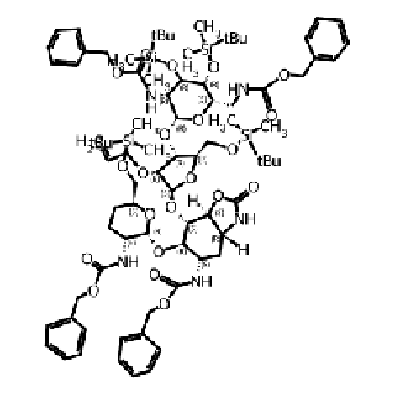 C=CCO[C@H]1[C@H](O[C@@H]2[C@H]3OC(=O)N[C@@H]3C[C@H](NC(=O)OCc3ccccc3)[C@H]2O[C@H]2O[C@H](CO[Si](C)(C)C(C)(C)C)CC[C@H]2NC(=O)OCc2ccccc2)O[C@H](CO[Si](C)(C)C(C)(C)C)[C@H]1O[C@H]1O[C@@H](CNC(=O)OCc2ccccc2)[C@@H](O[Si](C)(C)C(C)(C)C)[C@H](O[Si](C)(C)C(C)(C)C)[C@H]1NC(=O)OCc1ccccc1